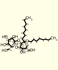 CCCCCCCCOC1(CCCCCCCC)O[C@H](CO)[C@@H](O)[C@H](O)[C@H]1OC1O[C@H](CO)[C@@H](O)[C@H](O)[C@H]1O